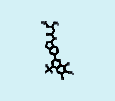 COCO/N=C(\C=C(/c1cc(Cl)cc(Cl)c1)C(F)(F)F)c1ccc2c(c1)CCC2NC(=O)CC(C)OC